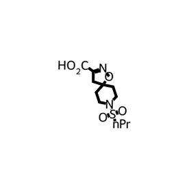 CCCS(=O)(=O)N1CCC2(CC1)CC(C(=O)O)=NO2